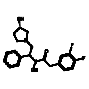 O=C(Cc1ccc(F)c(F)c1)N(O)[C@H](CN1CC[C@H](O)C1)c1ccccc1